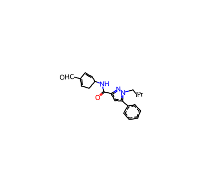 CC(C)Cn1nc(C(=O)NC2C=CC(C=O)=CC2)cc1-c1ccccc1